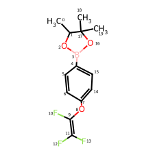 CC1OB(c2ccc(OC(F)=C(F)F)cc2)OC1(C)C